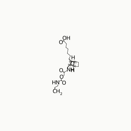 C=CCNC(=O)OCC(=O)NC[C@H]1[C@@H](CCCCCCC(=O)O)[C@H]2CC[C@@H]1O2